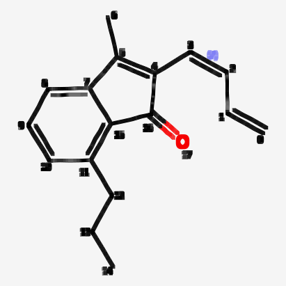 C=C/C=C\C1=C(C)c2cccc(CCC)c2C1=O